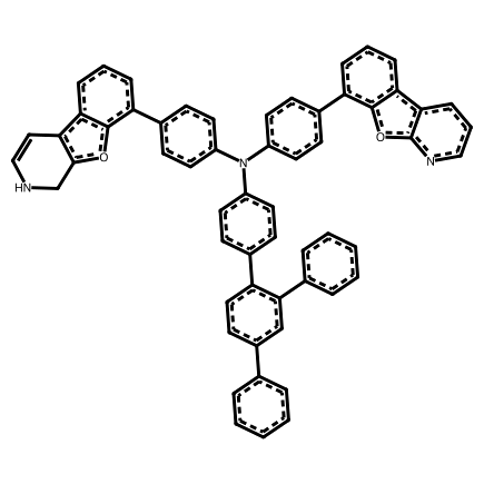 C1=Cc2c(oc3c(-c4ccc(N(c5ccc(-c6ccc(-c7ccccc7)cc6-c6ccccc6)cc5)c5ccc(-c6cccc7c6oc6ncccc67)cc5)cc4)cccc23)CN1